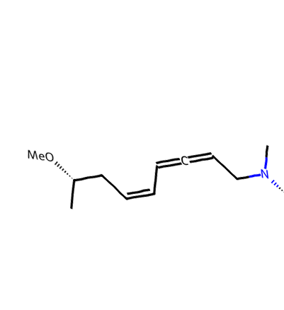 CC[C@@H](C)N(C)CC=C=C/C=C\C[C@H](C)OC